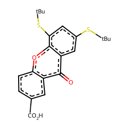 CC(C)(C)Sc1cc(SC(C)(C)C)c2oc3ccc(C(=O)O)cc3c(=O)c2c1